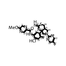 COc1cnc(C(=O)Nc2ccc(F)c(C34CN(c5ncc(F)cn5)CC3CSC(N)=N4)c2)cn1.Cl